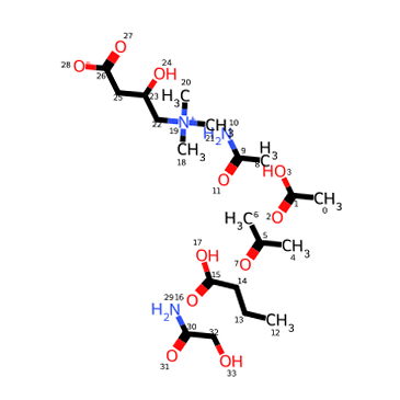 CC(=O)O.CC(C)=O.CC(N)=O.CCCC(=O)O.C[N+](C)(C)CC(O)CC(=O)[O-].NC(=O)CO